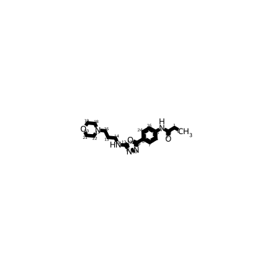 CCC(=O)Nc1ccc(-c2nnc(NCCCN3CCOCC3)o2)cc1